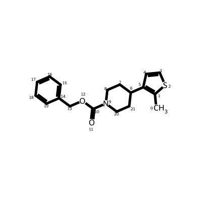 Cc1sccc1C1CCN(C(=O)OCc2ccccc2)CC1